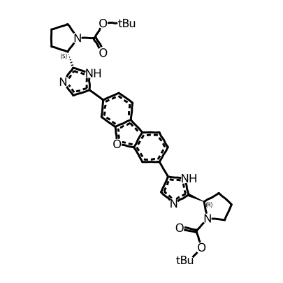 CC(C)(C)OC(=O)N1CCC[C@@H]1c1ncc(-c2ccc3c(c2)oc2cc(-c4cnc([C@@H]5CCCN5C(=O)OC(C)(C)C)[nH]4)ccc23)[nH]1